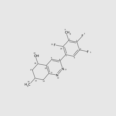 Cc1c(F)c(F)cc(-c2cc3c(nn2)CC(C)CC3O)c1F